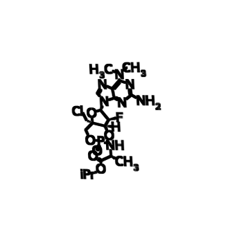 CC(C)OC(=O)[C@H](C)NP1(=O)OC[C@@]2(CCl)O[C@@H](n3cnc4c(N(C)C)nc(N)nc43)[C@@H](F)[C@@H]2O1